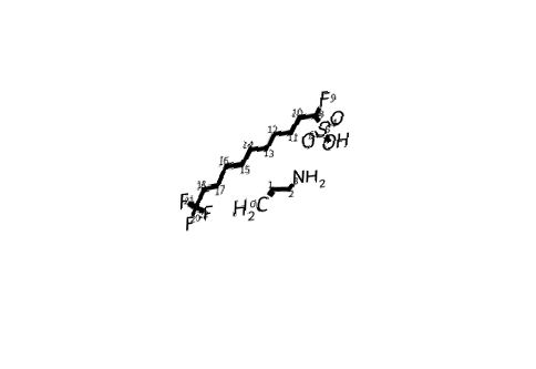 C=CCN.O=S(=O)(O)C(F)CCCCCCCCCC(F)(F)F